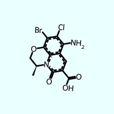 C[C@H]1COc2c(Br)c(Cl)c(N)c3cc(C(=O)O)c(=O)n1c23